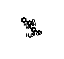 COc1cc(NN2NC(=O)C=C(c3ccccc3)N2)ccc1-c1cnco1